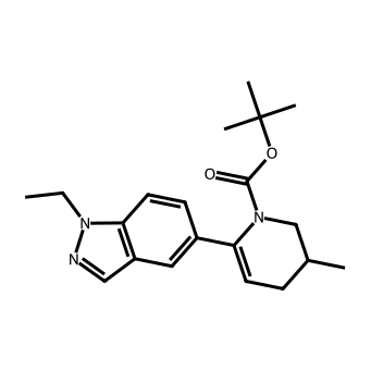 CCn1ncc2cc(C3=CCC(C)CN3C(=O)OC(C)(C)C)ccc21